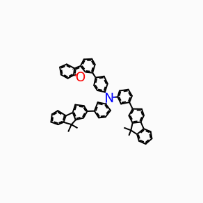 CC1(C)c2ccccc2-c2ccc(-c3cccc(N(c4ccc(-c5cccc6c5oc5ccccc56)cc4)c4cccc(-c5ccc6c(c5)C(C)(C)c5ccccc5-6)c4)c3)cc21